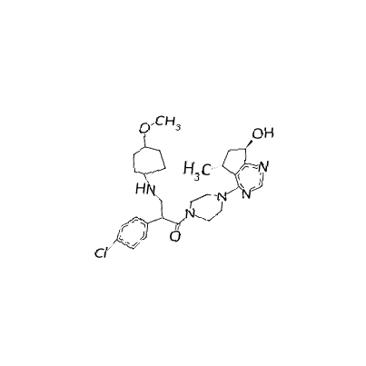 COC1CCC(NCC(C(=O)N2CCN(c3ncnc4c3[C@H](C)C[C@H]4O)CC2)c2ccc(Cl)cc2)CC1